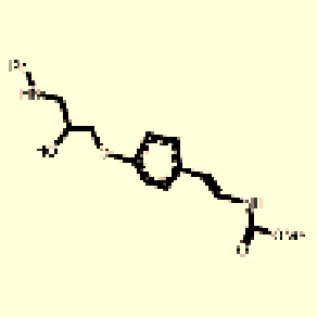 COC(=O)NC=Cc1ccc(OCC(O)CNC(C)C)cc1